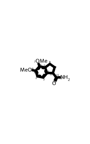 COc1ccc2c(c1OC)CCC2C(N)=O